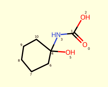 O=C(O)NC1(O)CCCCC1